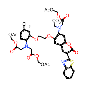 CC(=O)OCOC(=O)CN(CC(=O)O)c1cc2oc(=O)c(-c3nc4ccccc4s3)cc2cc1OCCOc1cc(C)ccc1N(CC(=O)OCOC(C)=O)CC(=O)OCOC(C)=O